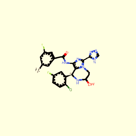 O=C(Nc1nc(-c2nnc[nH]2)n2c1[C@H](c1cc(F)ccc1Cl)NC(O)C2)c1cc(F)cc(C(F)(F)F)c1